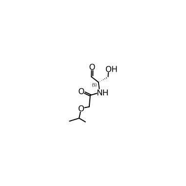 CC(C)OCC(=O)N[C@H](C=O)CO